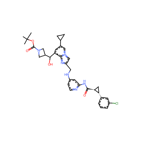 CC(C)(C)OC(=O)N1CC(C(O)c2cc(C3CC3)cn3cc(CNc4ccnc(NC(=O)[C@H]5C[C@@H]5c5cccc(Cl)c5)c4)nc23)C1